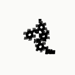 CSCc1cccc(Nc2ncc(F)c(-c3ccc(F)cc3OCc3ccccc3)n2)c1